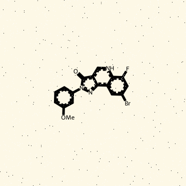 COc1cccc(-n2nc3c4cc(Br)cc(F)c4[nH]cc-3c2=O)c1